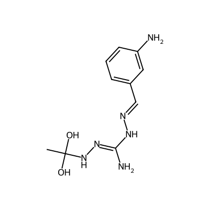 CC(O)(O)NN=C(N)NN=Cc1cccc(N)c1